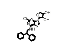 OC1COC(n2cnc3c(NCC(c4ccccc4)c4ccccc4)nc(Cl)nc32)C1O